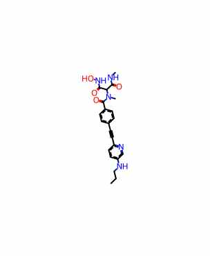 CCCNc1ccc(C#Cc2ccc(C(=O)N(C)C(C(=O)NC)C(=O)NO)cc2)nc1